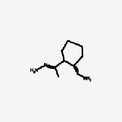 C/C(=N\N)C1CCCC/C1=N\N